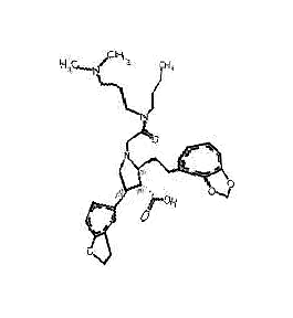 CCCCN(CCCN(C)C)C(=O)CN1C[C@H](c2ccc3c(c2)CCO3)[C@@H](C(=O)O)[C@@H]1CCc1cccc2c1OCO2